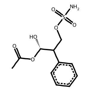 CC(=O)O[C@H](O)C(COS(N)(=O)=O)c1ccccc1